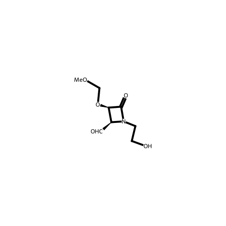 COCO[C@H]1C(=O)N(CCO)[C@H]1C=O